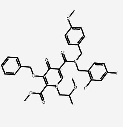 COC(=O)c1c(OCc2ccccc2)c(=O)c(C(=O)N(Cc2ccc(OC)cc2)Cc2ccc(F)cc2F)cn1CC(C)OC